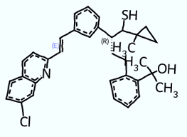 CC(C)(O)c1ccccc1CC[C@H](c1cccc(/C=C/c2ccc3ccc(Cl)cc3n2)c1)C(S)C1(C)CC1